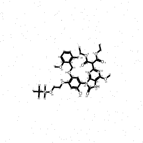 CCOC(=O)C(C(=O)OCC)c1nc(OC)c2[nH]c(=O)n(-c3cc(OCc4c(F)cccc4OC)c(OCCO[Si](C)(C)C(C)(C)C)cc3Cl)c2n1